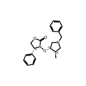 C[C@@H]1CN(Cc2ccccc2)C[C@H]1ON1C(=O)OC[C@H]1c1ccccc1